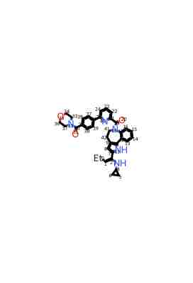 CC/C=C(/NC1CC1)c1cc2c([nH]1)-c1ccccc1N(C(=O)c1cccc(-c3ccc(C(=O)N4CCOCC4)cc3)n1)CC2